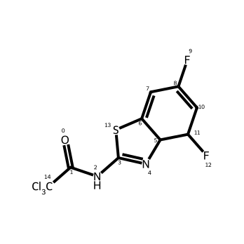 O=C(NC1=NC2C(=CC(F)=CC2F)S1)C(Cl)(Cl)Cl